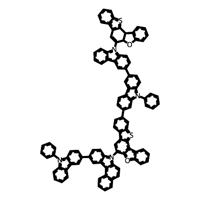 C1=C(n2c3ccccc3c3cc(-c4ccc5c(c4)c4ccc(-c6ccc7c(c6)sc6c7cc(-n7c8ccc(-c9ccc%10c(c9)c9ccccc9n%10-c9ccccc9)cc8c8c9ccccc9ccc87)c7oc8ccccc8c76)cc4n5-c4ccccc4)ccc32)C2Oc3ccccc3C2c2sc3ccccc3c21